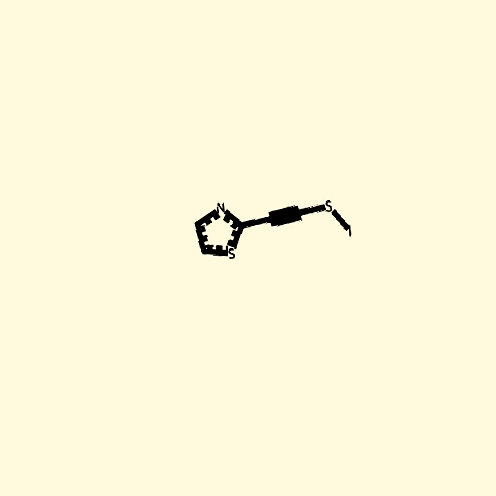 ISC#Cc1nccs1